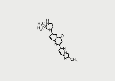 Cc1cn2nc(-c3cc(=O)n4cc(N5CCNC(C)(C)C5)ccc4n3)ccc2n1